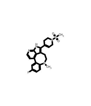 CN1CCc2c(C3=CCN(S(C)(=O)=O)CC3)[nH]c3nccc(c23)-c2cc(F)ccc21